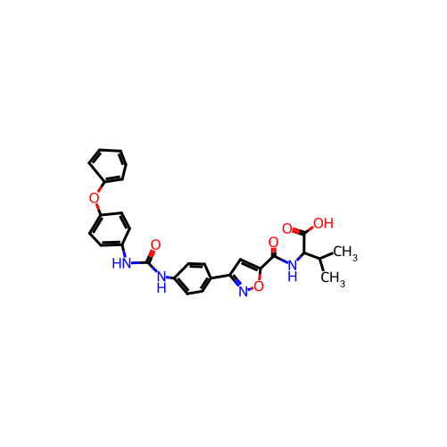 CC(C)C(NC(=O)c1cc(-c2ccc(NC(=O)Nc3ccc(Oc4ccccc4)cc3)cc2)no1)C(=O)O